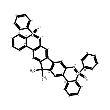 CC1(C)c2cc3c(cc2-c2cc4c(cc21)-c1ccccc1S(=O)(c1ccccc1)=N4)N=S(=O)(c1ccccc1)c1ccccc1-3